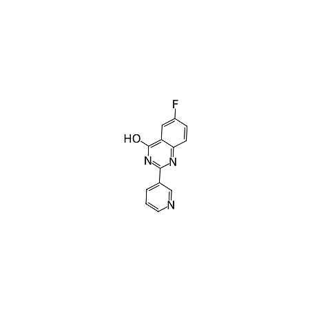 Oc1nc(-c2cccnc2)nc2ccc(F)cc12